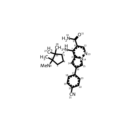 CNC1(C)CC[C@@H](Nc2c(C(N)=O)cnn3cc(-c4ccc(C#N)cc4)cc23)C1(C)C